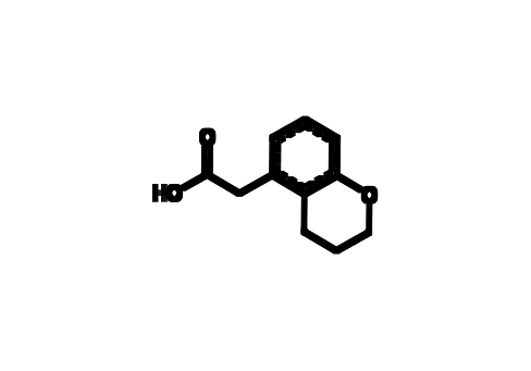 O=C(O)Cc1cccc2c1CCCO2